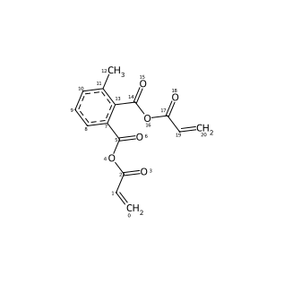 C=CC(=O)OC(=O)c1cccc(C)c1C(=O)OC(=O)C=C